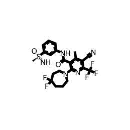 Cc1c(C#N)c(C(F)(F)F)nc(N2CCCC(F)(F)CC2)c1C(=O)Nc1cccc([S@](C)(=N)=O)c1